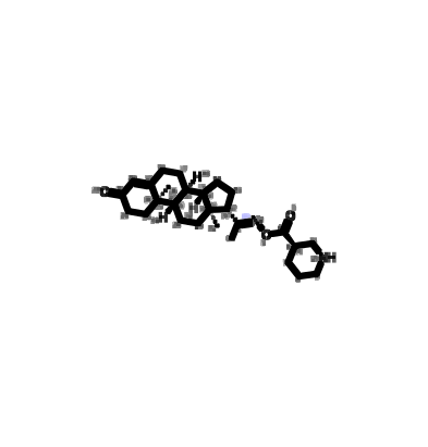 C/C(=N\OC(=O)[C@@H]1CCCNC1)[C@H]1CC[C@H]2[C@@H]3CCC4=CC(=O)CC[C@]4(C)[C@H]3CC[C@]12C